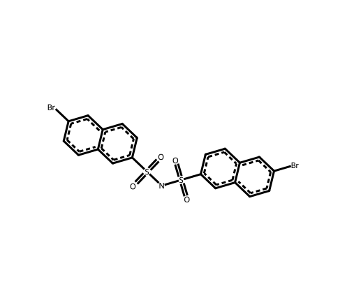 O=S(=O)([N]S(=O)(=O)c1ccc2cc(Br)ccc2c1)c1ccc2cc(Br)ccc2c1